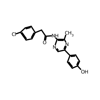 Cc1nc(-c2ccc(O)cc2)cnc1NC(=O)Cc1ccc(Cl)cc1